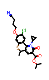 CC(C)OC(=O)c1cc2c(n(C3CC3)c1=O)-c1cc(Cl)c(OCCCC#N)cc1SC2C